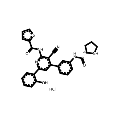 Cl.N#Cc1c(-c2cccc(NC(=O)[C@@H]3CCCN3)c2)cc(-c2ccccc2O)nc1NC(=O)c1cccs1